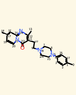 Cc1ccc(N2CCN(CCc3c(C)nc4cc(C)ccn4c3=O)CC2)cc1